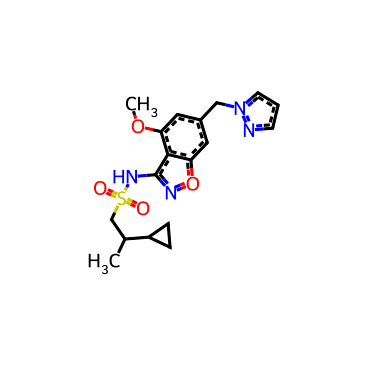 COc1cc(Cn2cccn2)cc2onc(NS(=O)(=O)CC(C)C3CC3)c12